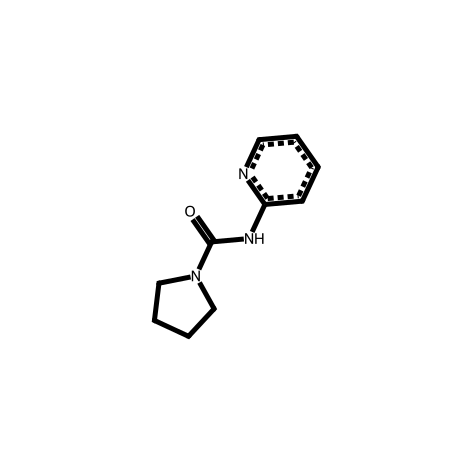 O=C(Nc1ccccn1)N1CCCC1